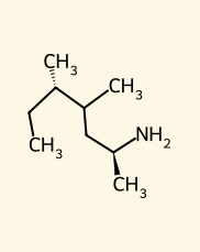 CC[C@H](C)C(C)C[C@H](C)N